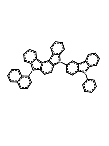 c1ccc(-n2c3ccccc3c3cc(-n4c5ccccc5c5c6c7ccccc7n(-c7cccc8ccccc78)c6ccc54)ccc32)cc1